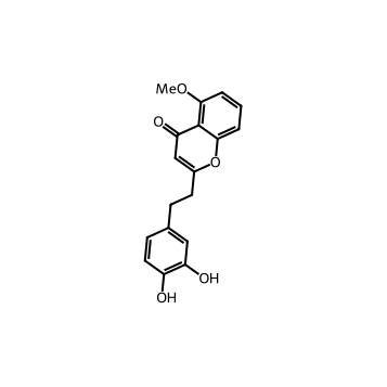 COc1cccc2oc(CCc3ccc(O)c(O)c3)cc(=O)c12